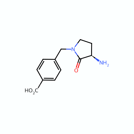 N[C@@H]1CCN(Cc2ccc(C(=O)O)cc2)C1=O